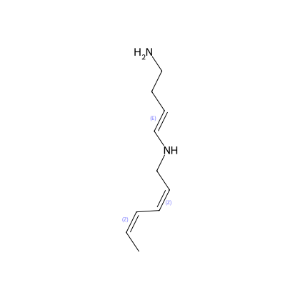 C/C=C\C=C/CN/C=C/CCN